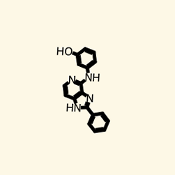 Oc1cccc(Nc2nccc3[nH]c(-c4ccccc4)nc23)c1